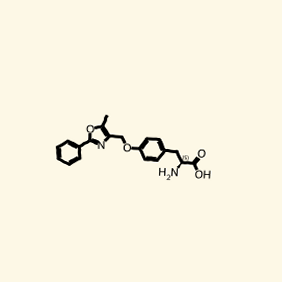 Cc1oc(-c2ccccc2)nc1COc1ccc(C[C@H](N)C(=O)O)cc1